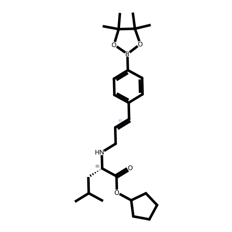 CC(C)C[C@H](NC/C=C/c1ccc(B2OC(C)(C)C(C)(C)O2)cc1)C(=O)OC1CCCC1